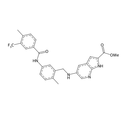 COC(=O)c1cc2cc(NCc3cc(NC(=O)c4ccc(C)c(C(F)(F)F)c4)ccc3C)cnc2[nH]1